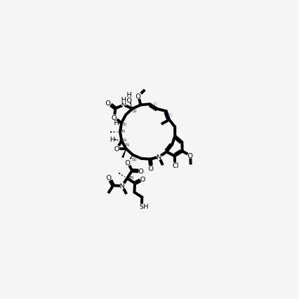 COc1cc2cc(c1Cl)N(C)C(=O)C[C@H](OC(=O)[C@@](C)(C(=O)CCS)N(C)C(C)=O)[C@]1(C)O[C@H]1[C@H](C)[C@@H]1C[C@@](O)(NC(=O)O1)C(OC)/C=C/C=C(\C)C2